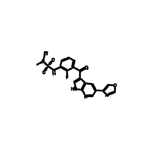 CCN(C)S(=O)(=O)Nc1cccc(C(=O)c2c[nH]c3ncc(-c4cocn4)cc23)c1F